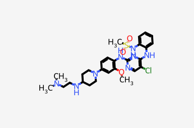 COc1cc(N2CCC(NCCN(C)C)CC2)ccc1Nc1ncc(Cl)c(Nc2ccccc2NS(C)(=O)=O)n1